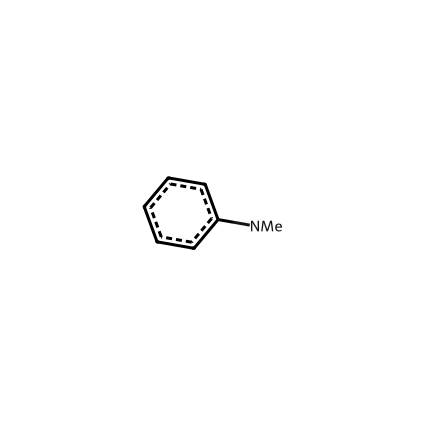 [CH2-][NH2+]c1ccccc1